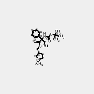 CN1CC[C@H](COC(=O)C(CO)(NC(=O)OC(C)(C)C)c2ccccc2)C1